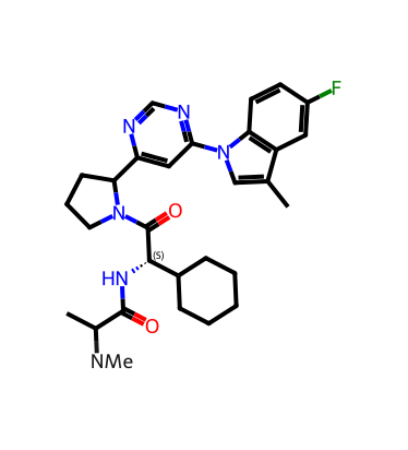 CNC(C)C(=O)N[C@H](C(=O)N1CCCC1c1cc(-n2cc(C)c3cc(F)ccc32)ncn1)C1CCCCC1